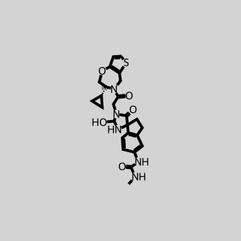 CNC(=O)Nc1ccc2c(c1)CCC21NC(O)N(CC(=O)N2Cc3sccc3OC[C@H]2C2CC2)C1=O